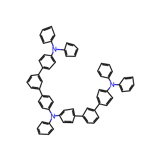 c1ccc(N(c2ccccc2)c2ccc(-c3cccc(-c4ccc(N(c5ccccc5)c5ccc(-c6cccc(-c7ccc(N(c8ccccc8)c8ccccc8)cc7)c6)cc5)cc4)c3)cc2)cc1